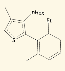 CCCCCCc1c(C)csc1C1=C(C)C=CCC1CC